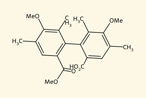 COC(=O)c1cc(C)c(OC)c(C)c1-c1c(C(=O)O)cc(C)c(OC)c1C